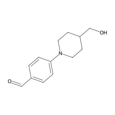 O=Cc1ccc(N2CCC(CO)CC2)cc1